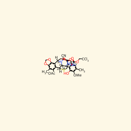 COc1c(C)cc2c(c1O)C1[C@@H]3[C@@H]4SCC(NC(=O)OCC(Cl)(Cl)Cl)C(=O)OC[C@@H](c5c6c(c(C)c(OC(C)=O)c54)OCO6)N3[C@@H](C#N)C(C2)N1C